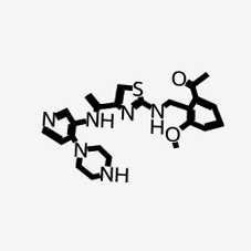 C=C(Nc1cnccc1N1CCNCC1)c1csc(NCc2c(OC)cccc2C(C)=O)n1